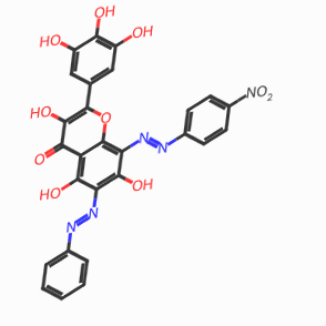 O=c1c(O)c(-c2cc(O)c(O)c(O)c2)oc2c(N=Nc3ccc([N+](=O)[O-])cc3)c(O)c(N=Nc3ccccc3)c(O)c12